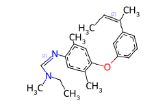 C/C=C(/C)c1cccc(Oc2cc(C)c(/N=C\N(C)CC)cc2C)c1